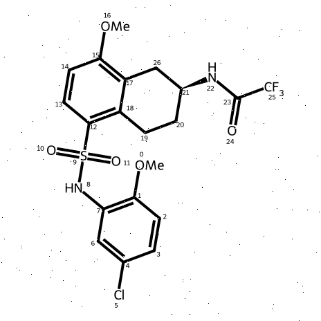 COc1ccc(Cl)cc1NS(=O)(=O)c1ccc(OC)c2c1CC[C@H](NC(=O)C(F)(F)F)C2